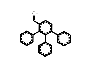 [CH]=Cc1ccc(-c2ccccc2)c(-c2ccccc2)c1-c1ccccc1